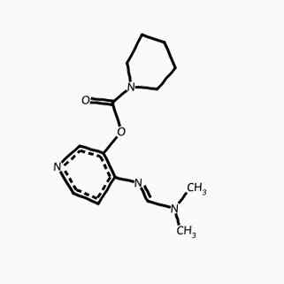 CN(C)C=Nc1ccncc1OC(=O)N1CCCCC1